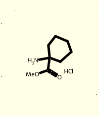 COC(=O)C1(N)CCCCC1.Cl